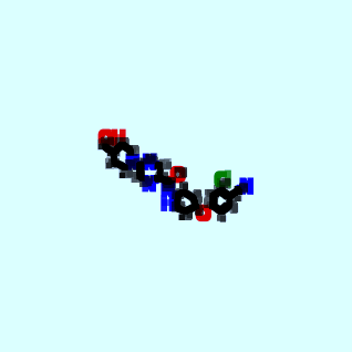 N#Cc1ccc(O[C@H]2CC[C@H](NC(=O)c3cnc(N4CCC(CO)CC4)cn3)CC2)cc1Cl